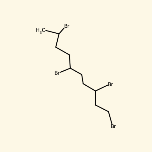 CC(Br)CCC(Br)CCC(Br)CCBr